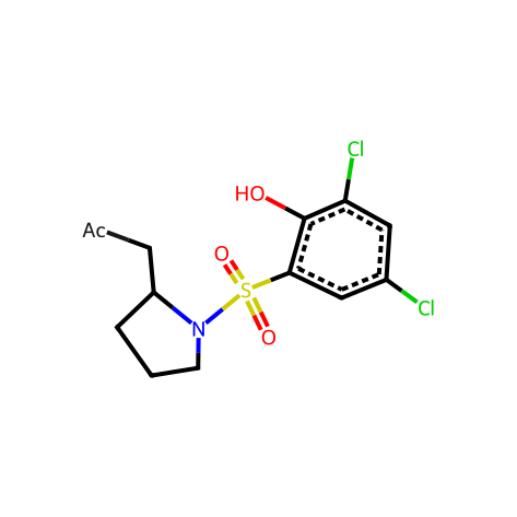 CC(=O)CC1CCCN1S(=O)(=O)c1cc(Cl)cc(Cl)c1O